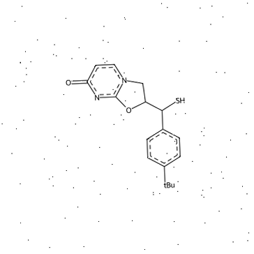 CC(C)(C)c1ccc(C(S)C2Cn3ccc(=O)nc3O2)cc1